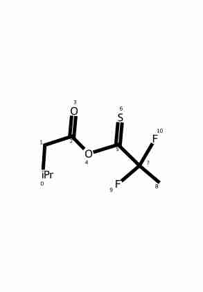 CC(C)CC(=O)OC(=S)C(C)(F)F